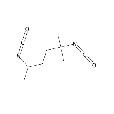 CC(CCC(C)(C)N=C=O)N=C=O